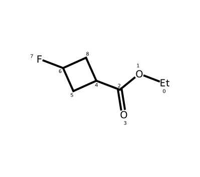 CCOC(=O)C1CC(F)C1